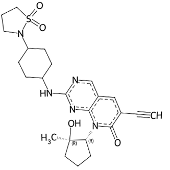 C#Cc1cc2cnc(NC3CCC(N4CCCS4(=O)=O)CC3)nc2n([C@@H]2CCC[C@@]2(C)O)c1=O